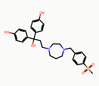 CS(=O)(=O)c1ccc(CN2CCCN(CCC(O)(c3ccc(O)cc3)c3ccc(O)cc3)CC2)cc1